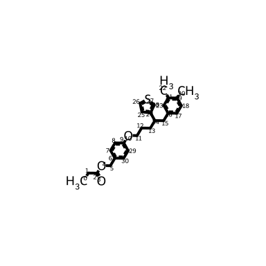 CCC(=O)OCc1ccc(OCCCC(Cc2ccc(C)c(C)c2)c2ccsc2)cc1